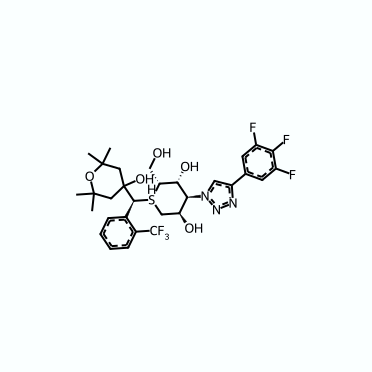 CC1(C)CC(O)([C@H](c2ccccc2C(F)(F)F)[SH]2C[C@H](O)[C@H](n3cc(-c4cc(F)c(F)c(F)c4)nn3)[C@@H](O)[C@H]2CO)CC(C)(C)O1